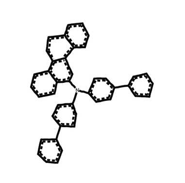 c1ccc(-c2ccc(N(c3ccc(-c4ccccc4)cc3)c3cc4c5ccccc5ccc4c4ccccc34)cc2)cc1